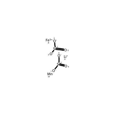 O=[Si]([O-])[O-].O=[Si]([O-])[O-].[Fe+3].[Li+].[Mn]